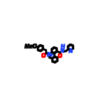 COc1ccc(CC(=O)NCc2ccccc2-c2ccccc2C(=O)NCc2ccccn2)cc1